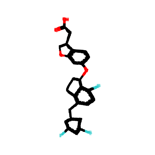 O=C(O)CC1COc2cc(O[C@@H]3CCc4c(Cc5cc(F)cc(F)c5)ccc(F)c43)ccc21